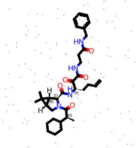 C=CCC[C@H](NC(=O)[C@@H]1[C@@H]2[C@H](CN1C(=O)[C@@H](C)C1CCCCC1)C2(C)C)C(=O)C(=O)NCCC(=O)NCc1ccccc1